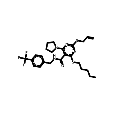 C=CCSc1nc(SCCCCC)c(C(=O)NCc2ccc(C(F)(F)F)cc2)c(N2CCCC2)n1